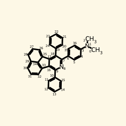 CN(C)c1ccc(-c2nc(-c3ccccc3)c3c(c2-c2ccccc2)-c2cccc4cccc-3c24)cc1